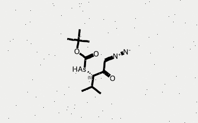 CC(C)[C@H]([AsH]C(=O)OC(C)(C)C)C(=O)C=[N+]=[N-]